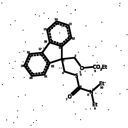 CCOC(=O)OCC1(CSC(=O)N(CC)CC)c2ccccc2-c2ccccc21